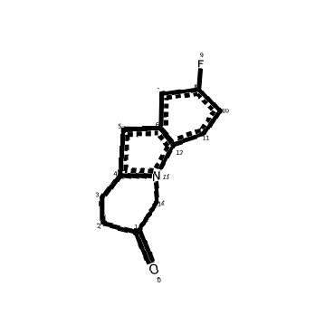 O=C1CCc2cc3cc(F)ccc3n2C1